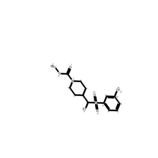 CCC(C1CCN(C(=O)OC(C)(C)C)CC1)S(=O)(=O)c1cccc(C(F)(F)F)c1